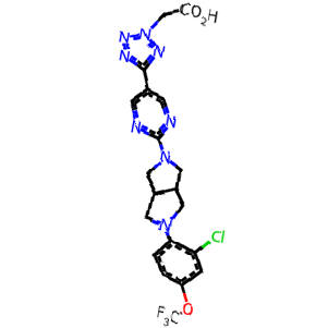 O=C(O)Cn1nnc(-c2cnc(N3CC4CN(c5ccc(OC(F)(F)F)cc5Cl)CC4C3)nc2)n1